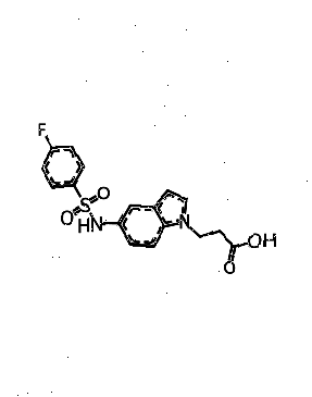 O=C(O)CCn1ccc2cc(NS(=O)(=O)c3ccc(F)cc3)ccc21